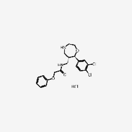 Cl.O=C(COc1ccccc1)NC[C@@H]1CNCCO[C@H]1c1ccc(Cl)c(Cl)c1